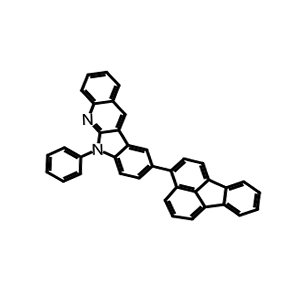 c1ccc(-n2c3ccc(-c4ccc5c6c(cccc46)-c4ccccc4-5)cc3c3cc4ccccc4nc32)cc1